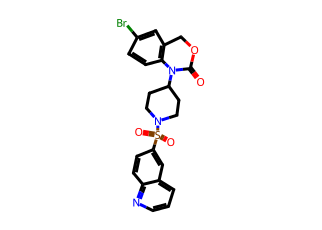 O=C1OCc2cc(Br)ccc2N1C1CCN(S(=O)(=O)c2ccc3ncccc3c2)CC1